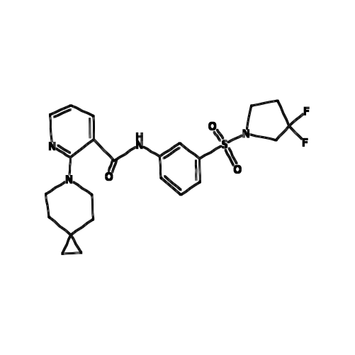 O=C(Nc1cccc(S(=O)(=O)N2CCC(F)(F)C2)c1)c1cccnc1N1CCC2(CC1)CC2